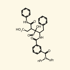 CCCN(CCC)C(=O)c1cccc(C(=O)NC(Cc2ccccc2)C(O)(P=O)C(CC(=O)O)C(=O)Nc2ccccc2)c1